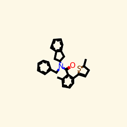 Cc1cccc(C2=CCC(C)S2)c1C(=O)N(Cc1ccccc1)C1Cc2ccccc2C1